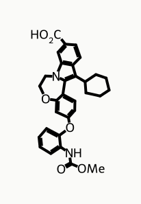 COC(=O)Nc1ccccc1Oc1ccc2c(c1)OCCn1c-2c(C2CCCCC2)c2ccc(C(=O)O)cc21